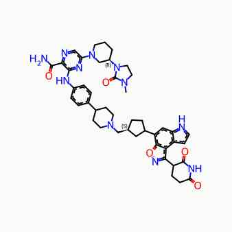 CN1CCN([C@@H]2CCCN(c3cnc(C(N)=O)c(Nc4ccc(C5CCN(C[C@H]6CCC(c7cc8[nH]ccc8c8c(C9CCC(=O)NC9=O)noc78)C6)CC5)cc4)n3)C2)C1=O